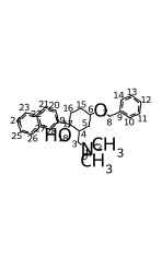 CN(C)CC1CC(OCc2ccccc2)CCC1(O)c1ccc2ccccc2c1